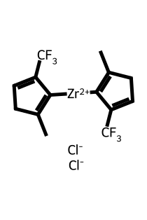 CC1=[C]([Zr+2][C]2=C(C)CC=C2C(F)(F)F)C(C(F)(F)F)=CC1.[Cl-].[Cl-]